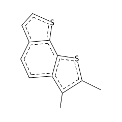 Cc1sc2c(ccc3ccsc32)c1C